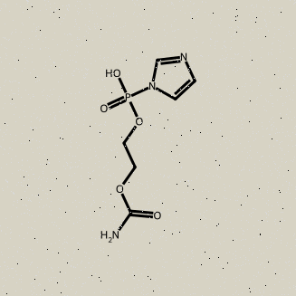 NC(=O)OCCOP(=O)(O)n1ccnc1